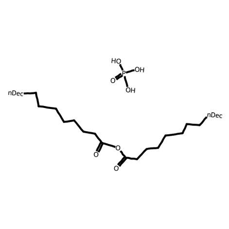 CCCCCCCCCCCCCCCCCC(=O)OC(=O)CCCCCCCCCCCCCCCCC.O=P(O)(O)O